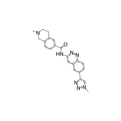 CN1CCc2cc(C(=O)Nc3cc4cc(-c5cn(C)nn5)ccc4nn3)ccc2C1